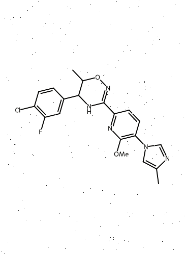 COc1nc(C2=NOC(C)C(c3ccc(Cl)c(F)c3)N2)ccc1-n1cnc(C)c1